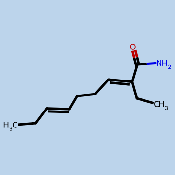 CC/C=C/CC/C=C(\CC)C(N)=O